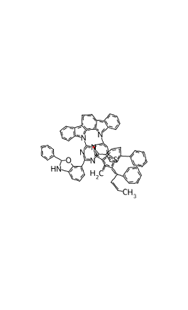 C=c1/c(=C(\C=C/C)c2ccccc2)sc2cc(-n3c4ccccc4c4ccc5c6ccccc6n(-c6nc(-c7ccc(-c8ccccc8)cc7)nc(-c7cccc8c7OC(c7ccccc7)N8)n6)c5c43)ccc12